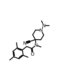 Cc1cc(C)c(CC(=O)N(C)C2(C#N)CCN(N(C)C)CC2)c(C)c1